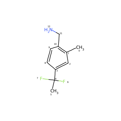 Cc1cc(C(C)(F)F)ccc1CN